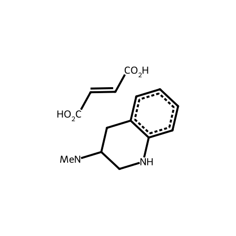 CNC1CNc2ccccc2C1.O=C(O)C=CC(=O)O